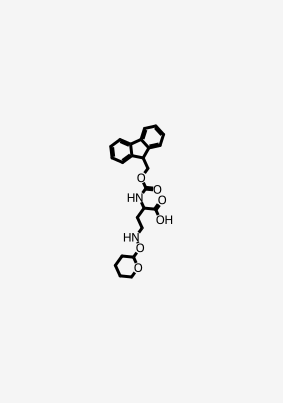 O=C(NC(CCNOC1CCCCO1)C(=O)O)OCC1c2ccccc2-c2ccccc21